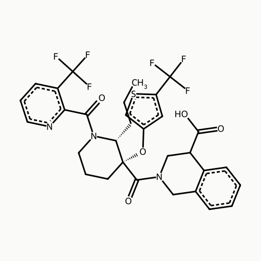 CCC[C@H]1N(C(=O)c2ncccc2C(F)(F)F)CCC[C@]1(Oc1csc(C(F)(F)F)c1)C(=O)N1Cc2ccccc2C(C(=O)O)C1